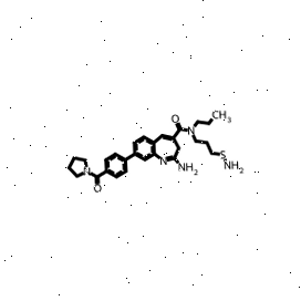 CCCN(CCCSN)C(=O)C1=Cc2ccc(-c3ccc(C(=O)N4CCCC4)cc3)cc2N=C(N)C1